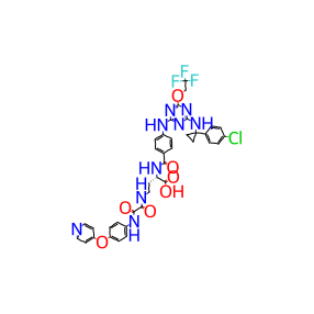 O=C(NCC[C@H](NC(=O)c1ccc(Nc2nc(NC3(c4ccc(Cl)cc4)CC3)nc(OCC(F)(F)F)n2)cc1)C(=O)O)C(=O)Nc1ccc(Oc2ccncc2)cc1